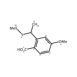 COc1ccc(C(=O)O)c(C(C)SSC)c1